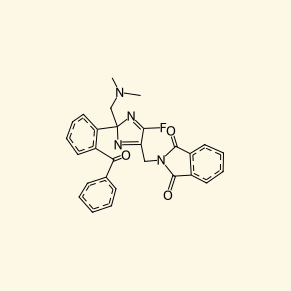 CN(C)CC1(c2ccccc2C(=O)c2ccccc2)N=C(F)C(CN2C(=O)c3ccccc3C2=O)=N1